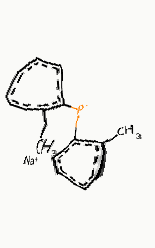 Cc1ccccc1[P-]c1ccccc1C.[Na+]